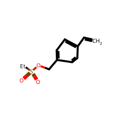 C=Cc1ccc(COS(=O)(=O)CC)cc1